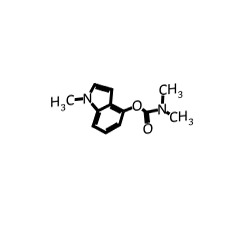 CN(C)C(=O)Oc1cccc2c1ccn2C